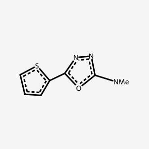 CNc1nnc(-c2cccs2)o1